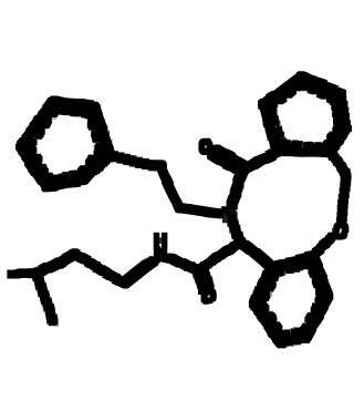 CC(C)CCNC(=O)C1c2ccccc2OCc2ccccc2C(=O)N1CCc1ccccc1